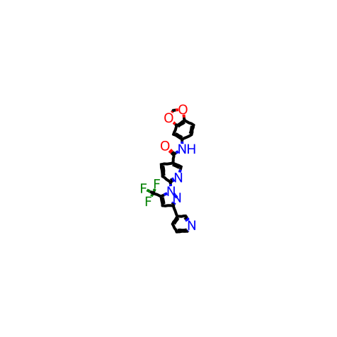 O=C(Nc1ccc2c(c1)OCO2)c1ccc(-n2nc(-c3cccnc3)cc2C(F)(F)F)nc1